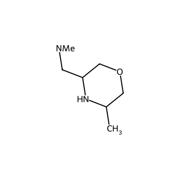 CNCC1COCC(C)N1